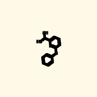 OC(O)c1cccc(Oc2ccccc2)n1